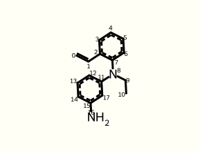 C=Cc1ccccc1N(CC)c1cccc(N)c1